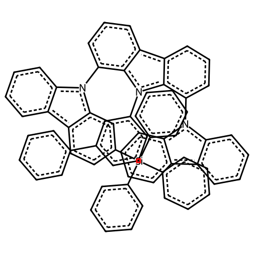 c1ccc(-c2cccc(-n3c4c(-n5c6ccccc6c6ccccc65)cccc4c4cccc(-n5c6ccccc6c6ccc([Si](c7ccccc7)(c7ccccc7)c7ccccc7)cc65)c43)c2)cc1